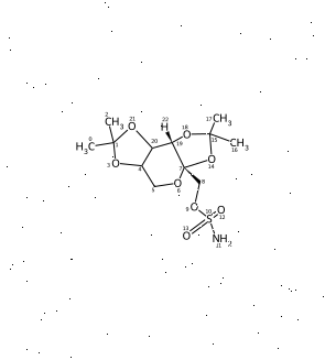 CC1(C)OC2CO[C@@]3(COS(N)(=O)=O)OC(C)(C)O[C@H]3C2O1